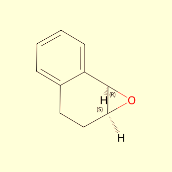 c1ccc2c(c1)CC[C@@H]1O[C@H]21